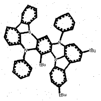 CC(C)(C)c1ccc2c(c1)-c1cc(C(C)(C)C)cc3c1B2c1c(cc2c(c1C(C)(C)C)N(c1ccccc1)c1cccc4c1B2c1ccccc1-4)N3c1ccccc1